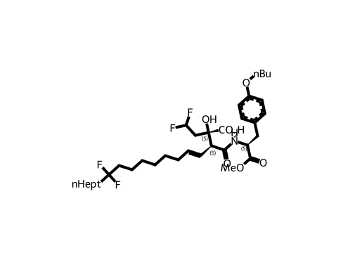 CCCCCCCC(F)(F)CCCCCCC=C[C@H](C(=O)N[C@@H](Cc1ccc(OCCCC)cc1)C(=O)OC)[C@@](O)(CC(F)F)C(=O)O